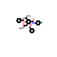 C=C(C)c1cc(C(=O)Nc2ccc(F)cc2)c(OCc2ccccc2)c(CC(=O)NC)c1OCc1ccccc1